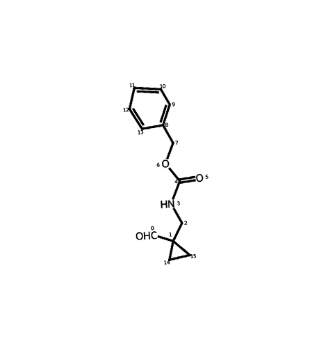 O=CC1(CNC(=O)OCc2ccccc2)CC1